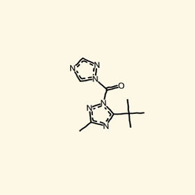 Cc1nc(C(C)(C)C)n(C(=O)n2cncn2)n1